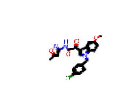 COc1ccc2c(c1)c(C(=O)C(=O)Nc1cc(C)on1)cn2Cc1ccc(Cl)cc1